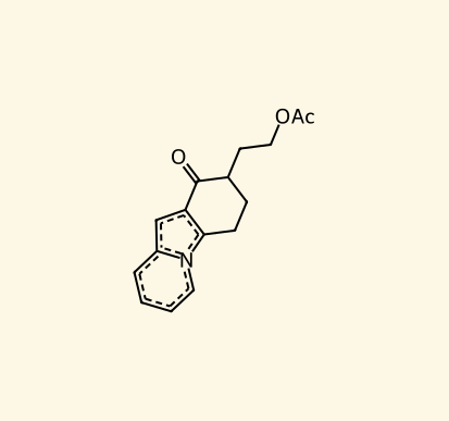 CC(=O)OCCC1CCc2c(cc3ccccn23)C1=O